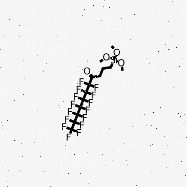 CO[Si](CCCC(=O)C(F)(F)C(F)(F)C(F)(F)C(F)(F)C(F)(F)C(F)(F)C(F)(F)F)(OC)OC